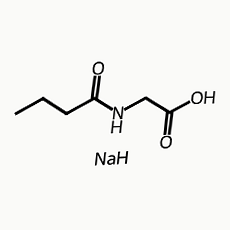 CCCC(=O)NCC(=O)O.[NaH]